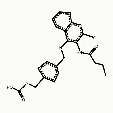 CCCC(=O)Nc1c(Cl)nc2ccccc2c1NCc1ccc(CNC(=O)O)cc1